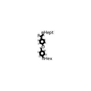 CCCCCCCC=C(F)c1ccc(OCc2ccc(CCCCCC)cc2)cc1